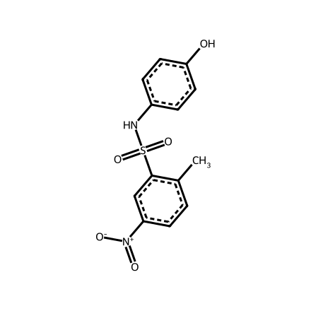 Cc1ccc([N+](=O)[O-])cc1S(=O)(=O)Nc1ccc(O)cc1